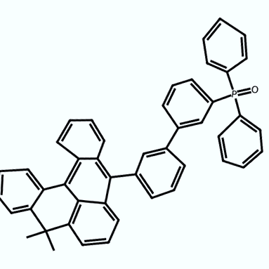 CC1(C)c2ccccc2-c2c3ccccc3c(-c3cccc(-c4cccc(P(=O)(c5ccccc5)c5ccccc5)c4)c3)c3cccc1c23